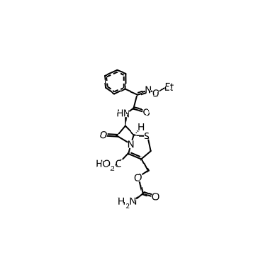 CCO/N=C(\C(=O)N[C@@H]1C(=O)N2C(C(=O)O)=C(COC(N)=O)CS[C@H]12)c1ccccc1